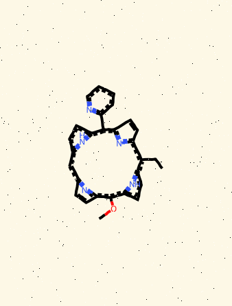 CCc1c2nc(c(-c3ccccn3)c3ccc(cc4nc(c(OC)c5ccc1[nH]5)C=C4)[nH]3)C=C2